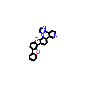 c1ccc2c(c1)oc1c2ccc2oc3c(ccc4c5cnccc5c5nccn5c43)c21